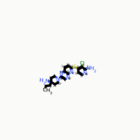 CCCC1(N)CCN(c2cnc3nc(Sc4ccnc(N)c4Cl)ccc3n2)CC1